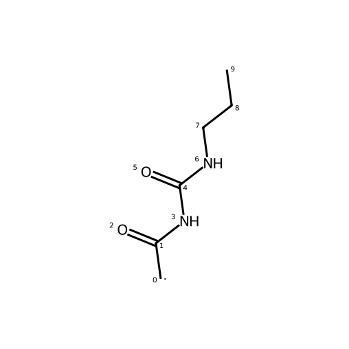 [CH2]C(=O)NC(=O)NCCC